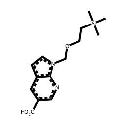 C[Si](C)(C)CCOCn1ccc2cc(C(=O)O)cnc21